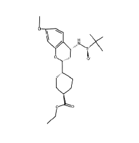 CCOC(=O)[C@H]1CC[C@H]([C@H]2C[C@@H](N[S@+]([O-])C(C)(C)C)c3ccc(OC)cc3O2)CC1